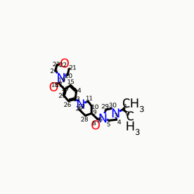 CC(C)N1CCN(C(=O)C2CCN(c3ccc(C(=O)N4CCOCC4)cc3)CC2)CC1